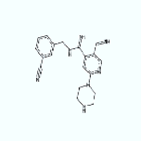 N#Cc1cccc(CNC(=N)c2cc(N3CCNCC3)ncc2C=N)c1